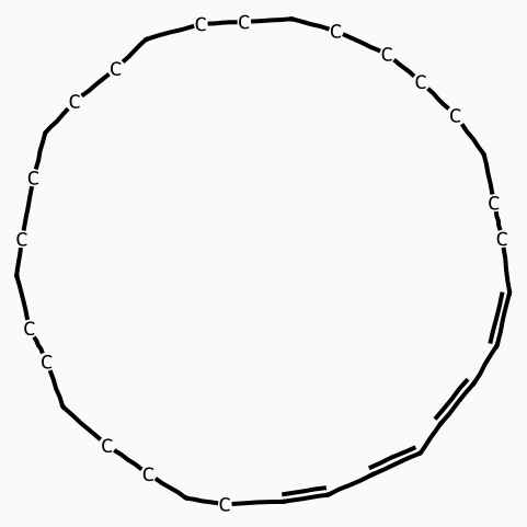 C1=C\C=C/CCCCCCCCCCCCCCCCCCCCCCCC/C=C\C=C/1